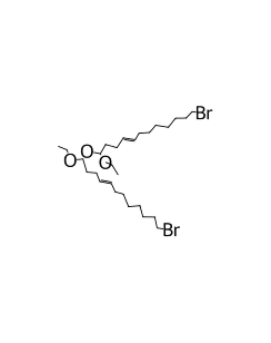 CCOC(CCC=CCCCCCCCBr)OC(CCC=CCCCCCCCBr)OCC